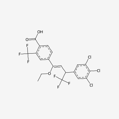 CCOC(=CC(c1cc(Cl)c(Cl)c(Cl)c1)C(F)(F)F)c1ccc(C(=O)O)c(C(F)(F)F)c1